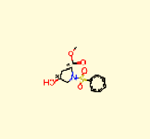 COC(=O)[C@H]1C[C@H](O)CN1S(=O)(=O)c1ccccc1